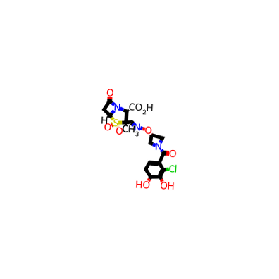 C[C@]1(/C=N/OC2CN(C(=O)C3=CCC(O)C(O)=C3Cl)C2)[C@H](C(=O)O)N2C(=O)C[C@H]2S1(=O)=O